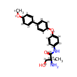 COc1ccc(-c2ccc(Oc3ccc(NC(=O)[C@@](C)(N)CO)cc3)cc2)cc1